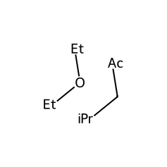 CC(=O)CC(C)C.CCOCC